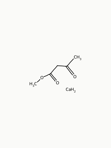 COC(=O)CC(C)=O.[CaH2]